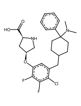 CN(C)C1(c2ccccc2)CCC(Cc2cc(O[C@@H]3CN[C@H](C(=O)O)C3)c(F)c(F)c2Cl)CC1